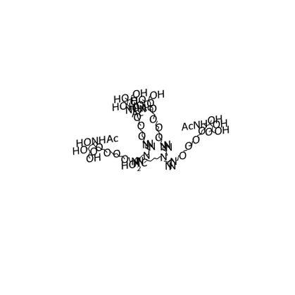 CC(=O)NC1C(OCCOCCOCCOCCn2cc(CN(CCCC[C@@H](C(=O)O)N(Cc3cn(CCOCCOCCOCCOC4OC(CO)C(O)C(O)C4NC(C)=O)nn3)Cc3cn(CCOCCOCCOCCOC4OC(CO)C(O)C(O)C4NC(C)=O)nn3)Cc3cn(CCOCCOCCOCCOC4OC(CO)C(O)C5(O)C4N5C(C)=O)nn3)nn2)OC(CO)C(O)C1O